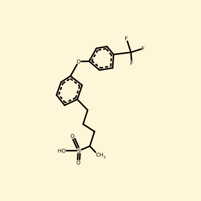 CC(CCCc1cccc(Oc2ccc(C(F)(F)F)cc2)c1)S(=O)(=O)O